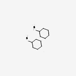 N=[NH+]C1CCCCC1.N=[NH+]C1CCCCC1.[O-2]